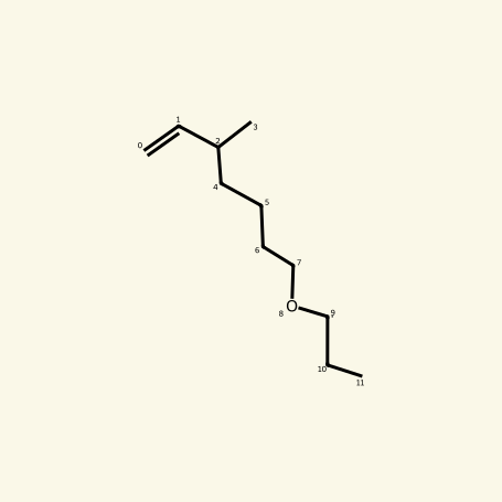 C=CC(C)CCCCO[CH]CC